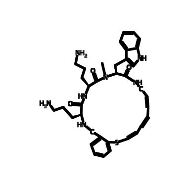 CN1C(=O)[C@H](CCCN)NC(=O)[C@H](CCCN)NCc2ccccc2SC=CC=CC=CCNC(=O)[C@@H]1Cc1c[nH]c2ccccc12